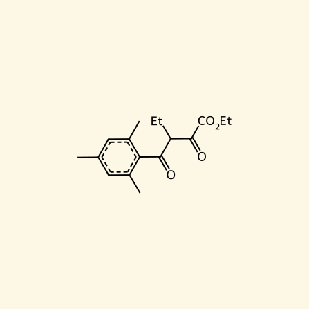 CCOC(=O)C(=O)C(CC)C(=O)c1c(C)cc(C)cc1C